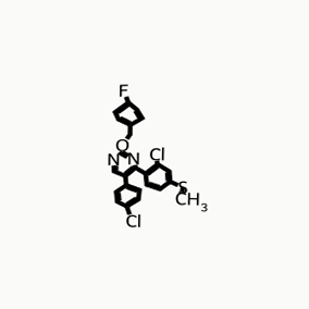 CSc1ccc(-c2nc(OCc3ccc(F)cc3)ncc2-c2ccc(Cl)cc2)c(Cl)c1